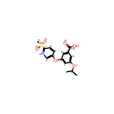 CC(C)Oc1cc(Oc2ccc(S(C)(=O)=O)nc2)cc(C(=O)O)c1